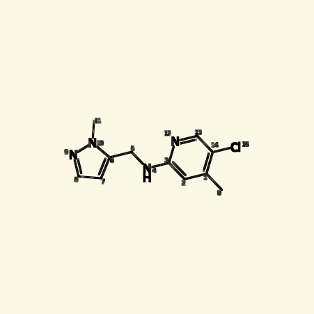 Cc1cc(NCc2ccnn2C)ncc1Cl